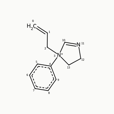 C=CC[N+]1(c2ccccc2)C=NCC1